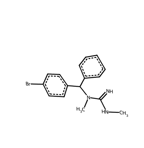 CNC(=N)N(C)C(c1ccccc1)c1ccc(Br)cc1